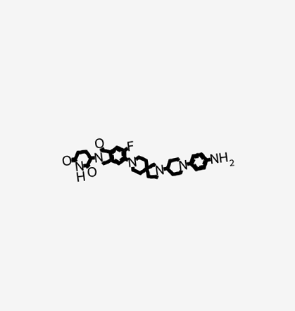 Nc1ccc(N2CCC(N3CCC4(CCN(c5cc6c(cc5F)C(=O)N(C5CCC(=O)NC5=O)C6)CC4)C3)CC2)cc1